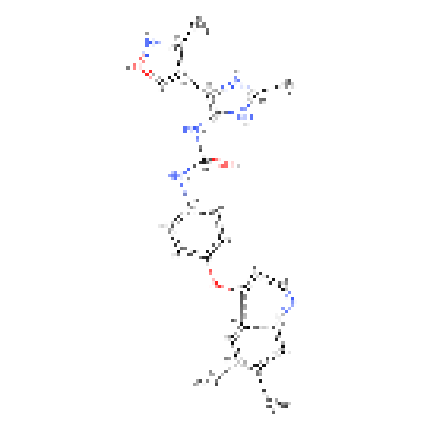 COc1cc2nccc(Oc3ccc(NC(=O)Nc4[nH]c(C(C)(C)C)nc4-c4conc4C)cc3)c2cc1OC